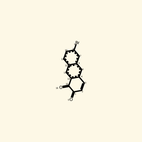 O=C1C=Cc2cc3cc(Br)ccc3cc2C1=O